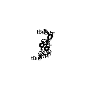 CC(C)(C)OC(=O)N[C@H]1CS(=O)(=O)c2cc(F)c(-c3nnc(N4CCC(F)(F)C(CO[Si](C)(C)C(C)(C)C)C4)o3)cc2N(Cc2ccc(Cl)cc2)C1=O